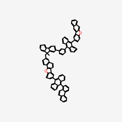 CC1(Cc2ccc3c(ccc4c5cc(-c6c7ccccc7c(-c7cccc8c7ccc7ccccc78)c7ccccc67)ccc5oc34)c2)c2ccccc2-c2ccc(-c3cccc(-c4c5ccccc5c(-c5ccc6oc7cc8ccccc8cc7c6c5)c5ccccc45)c3)cc21